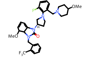 COC1CCN(Cc2cccc(F)c2N2CC[C@@H](N3C(=O)N(Cc4ccccc4C(F)(F)F)C4C3=CC=CC4OC)C2)CC1